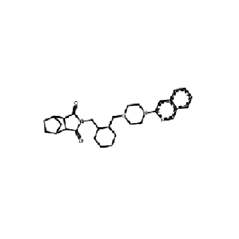 O=C1C2C3CCC(C3)C2C(=O)N1CC1CCCCC1CN1CCN(c2cc3ccccc3cn2)CC1